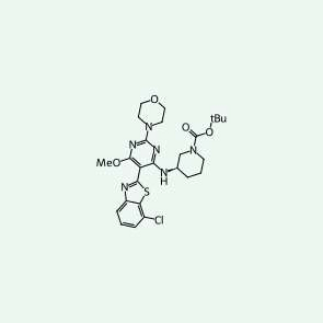 COc1nc(N2CCOCC2)nc(N[C@@H]2CCCN(C(=O)OC(C)(C)C)C2)c1-c1nc2cccc(Cl)c2s1